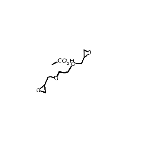 C(COCC1CO1)OCC1CO1.CC(=O)O